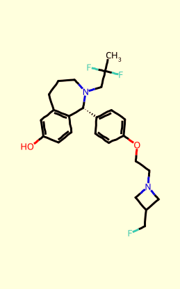 CC(F)(F)CN1CCCc2cc(O)ccc2[C@H]1c1ccc(OCCN2CC(CF)C2)cc1